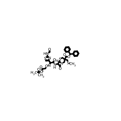 CSCC1(C(=O)OC(c2ccccc2)c2ccccc2)CS[C@@H]2C(NC(=O)C(=NOCC(=O)OC(C)(C)C)c3csc(NC=O)n3)C(=O)N2C1